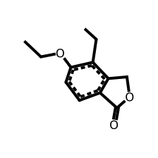 CCOc1ccc2c(c1CC)COC2=O